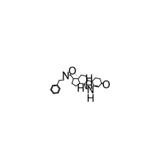 CN(CCc1ccccc1)C(=O)C1CC[C@H]2[C@@H]3CNC4=CC(=O)CC[C@]4(C)[C@@H]3CC[C@]12C